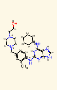 Cc1cc(CN2CCN(CCO)CC2)ccc1Nc1nc(NC2CCCCC2)c2nc[nH]c2n1